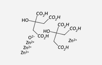 O=C(O)CC(O)(CC(=O)O)C(=O)O.O=C(O)CC(O)(CC(=O)O)C(=O)O.[O-2].[Zn+2].[Zn+2].[Zn+2].[Zn+2]